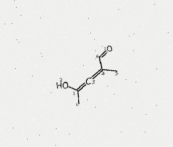 CC(O)=C=C(C)C=O